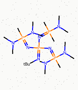 CN(C)P(C)(C)=NP(=NC(C)(C)C)(N=P(C)(N(C)C)N(C)C)N=P(C)(N(C)C)N(C)C